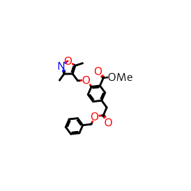 COC(=O)c1cc(CC(=O)OCc2ccccc2)ccc1OCc1c(C)noc1C